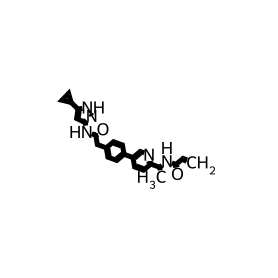 C=CC(=O)NC(C)c1ccc(-c2ccc(CC(=O)Nc3cc(C4CC4)[nH]n3)cc2)cn1